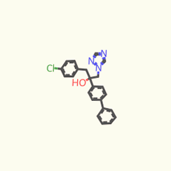 OC(Cc1ccc(Cl)cc1)(Cn1cncn1)c1ccc(-c2ccccc2)cc1